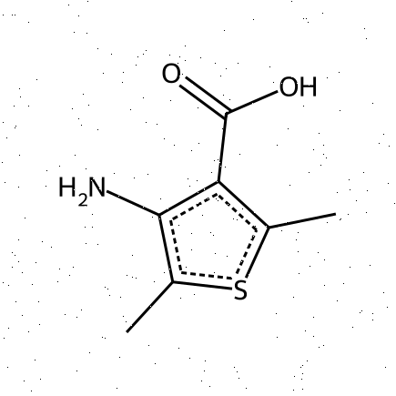 Cc1sc(C)c(C(=O)O)c1N